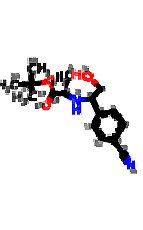 C[C@@H](NC(CO)c1ccc(C#N)cc1)C(=O)OC(C)(C)C